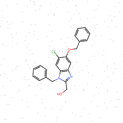 OCc1nc2cc(OCc3ccccc3)c(Cl)cc2n1Cc1ccccc1